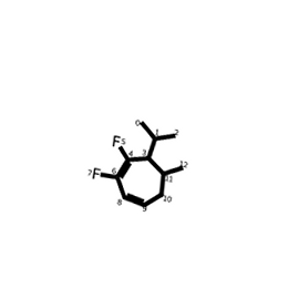 CC(C)C1C(F)=C(F)C=CCC1C